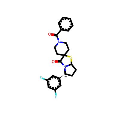 O=C(c1ccccc1)N1CCC2(CC1)SC1CC[C@H](c3cc(F)cc(F)c3)N1C2=O